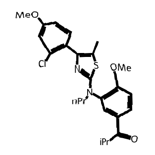 CCCN(c1nc(-c2ccc(OC)cc2Cl)c(C)s1)c1cc(C(=O)C(C)C)ccc1OC